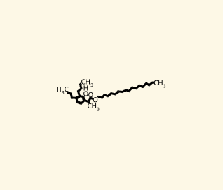 CCCCCCCCCCCCCCCCCCOC(=O)C(C)c1ccc(CCCC)c(CCCC)c1O